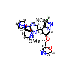 COc1ccc(CN2C3CC2CN(c2cnc(-c4cc(OC[C@@H]5CNCCO5)cn5nc(F)c(C#N)c45)cn2)C3)cn1